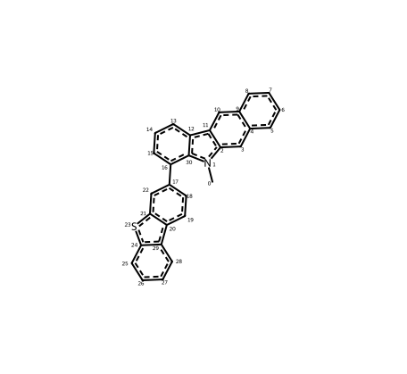 Cn1c2cc3ccccc3cc2c2cccc(-c3ccc4c(c3)sc3ccccc34)c21